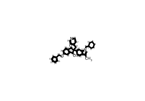 Cc1cn(CC2CCCCC2)c2cc(C3(Cc4ccncc4)C(=O)c4ccc(OCc5ccccc5)cc4C3=O)ccc12